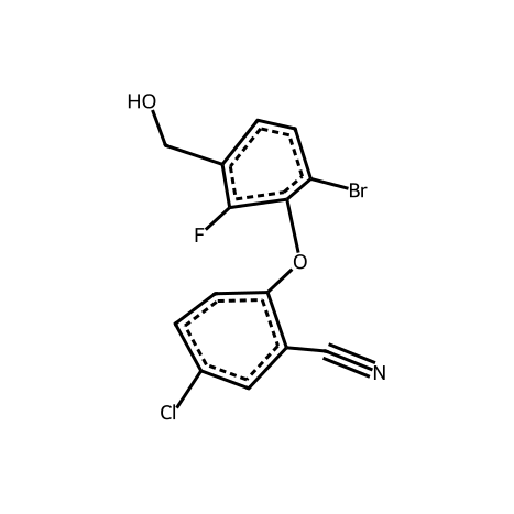 N#Cc1cc(Cl)ccc1Oc1c(Br)ccc(CO)c1F